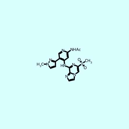 CC(=O)Nc1cc(Nc2nc(S(C)(=O)=O)cn3ccnc23)c(-c2ccn(C)n2)cn1